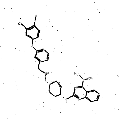 CN(C)c1nc(N[C@H]2CC[C@@H](CNCc3cccc(Oc4ccc(Cl)c(Cl)c4)c3)CC2)nc2ccccc12